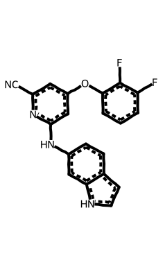 N#Cc1cc(Oc2cccc(F)c2F)cc(Nc2ccc3cc[nH]c3c2)n1